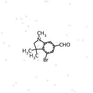 CN1CC(C)(C)c2c(Br)cc(C=O)cc21